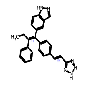 CC/C(=C(/c1ccc(/C=C/c2nn[nH]n2)cc1)c1ccc2[nH]ncc2c1)c1ccccc1